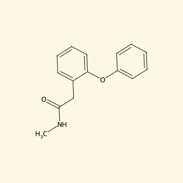 CNC(=O)Cc1ccccc1Oc1ccccc1